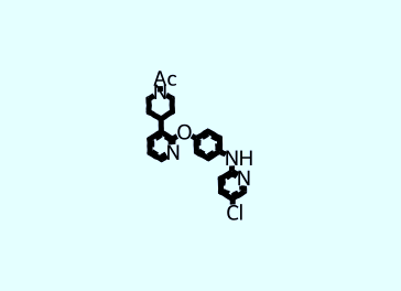 CC(=O)N1CCC(c2cccnc2Oc2ccc(Nc3ccc(Cl)cn3)cc2)CC1